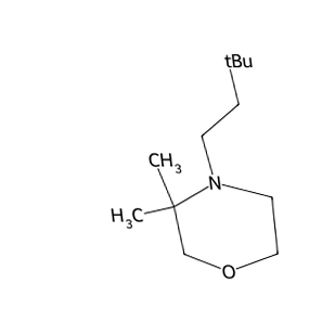 CC(C)(C)CCN1CCOCC1(C)C